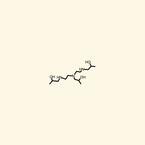 CC(O)CNCCN(CCNCC(C)O)CC(C)O